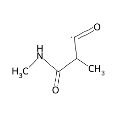 CNC(=O)C(C)[C]=O